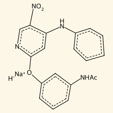 CC(=O)Nc1cccc(Oc2cc(Nc3ccccc3)c([N+](=O)[O-])cn2)c1.[H-].[Na+]